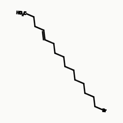 O=C(O)CCC=CCCCCCCCCCCBr